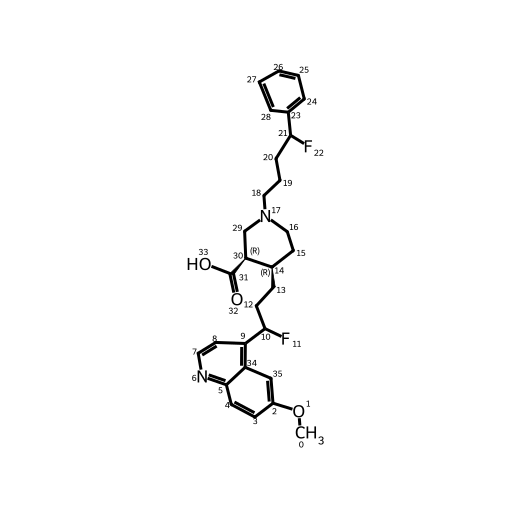 COc1ccc2nccc(C(F)CC[C@@H]3CCN(CCCC(F)c4ccccc4)C[C@@H]3C(=O)O)c2c1